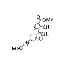 COC(=O)c1csc([C@H](C)[C@H]2CC[C@H](N3CC(OC)C3)CC2)c1C.Cl